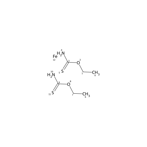 CCOC(N)=S.CCOC(N)=S.[Fe]